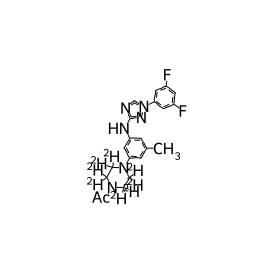 [2H]C1([2H])N(C(C)=O)C([2H])([2H])C([2H])([2H])N(c2cc(C)cc(Nc3ncn(-c4cc(F)cc(F)c4)n3)c2)C1([2H])[2H]